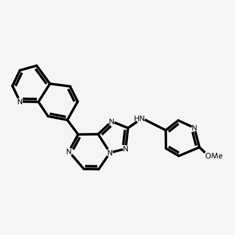 COc1ccc(Nc2nc3c(-c4ccc5cccnc5c4)nccn3n2)cn1